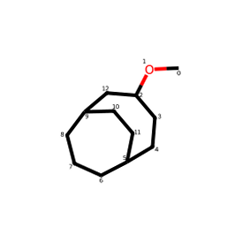 COC1CCC2CCCC(CC2)C1